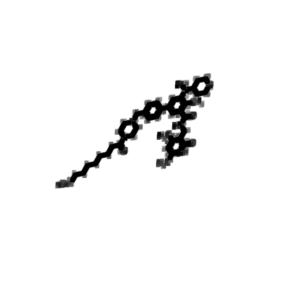 CCCCCCCCCCCCCCCCCC(=O)N1CCN(Cc2ccc(-c3cc(C(=O)NCc4c(C)cc(C)[nH]c4=O)c(C)c(N(CC)C4CCOCC4)c3)cc2)CC1